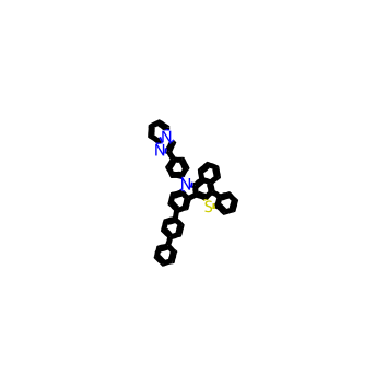 c1ccc(-c2ccc(-c3ccc4c(c3)c3c5sc6ccccc6c5c5ccccc5c3n4-c3ccc(-c4cn5ccccc5n4)cc3)cc2)cc1